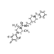 C[C@@H]1CN(c2cc(F)c(F)cc2F)C[C@H](C)N1C(=O)NCCC1CCN(Cc2ccccc2)CC1